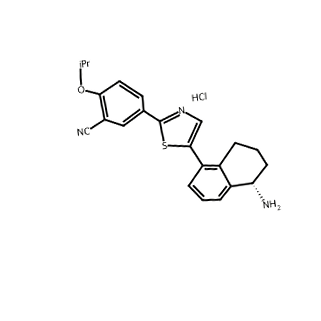 CC(C)Oc1ccc(-c2ncc(-c3cccc4c3CCC[C@@H]4N)s2)cc1C#N.Cl